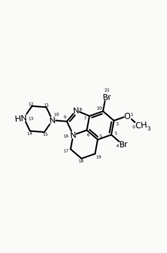 COc1c(Br)c2c3c(nc(N4CCNCC4)n3CCC2)c1Br